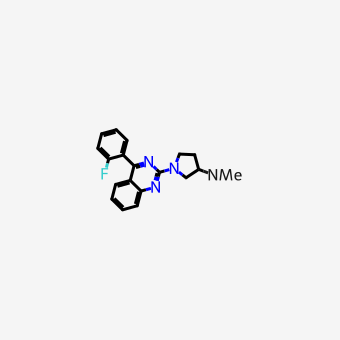 CNC1CCN(c2nc(-c3ccccc3F)c3ccccc3n2)C1